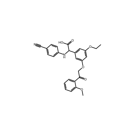 CCOc1cc(OCC(=O)c2ccccc2OC)cc(C(Nc2ccc(C#N)cc2)C(=O)O)c1